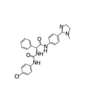 CN1CCN=C1c1ccc(NC(=O)[C@@H](NC(=O)Nc2ccc(Cl)cc2)c2ccccc2)cc1